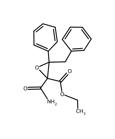 CCOC(=O)C1(C(N)=O)OC1(Cc1ccccc1)c1ccccc1